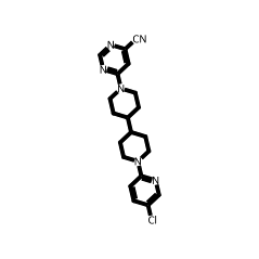 N#Cc1cc(N2CCC(C3CCN(c4ccc(Cl)cn4)CC3)CC2)ncn1